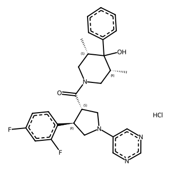 C[C@@H]1CN(C(=O)[C@@H]2CN(c3cncnc3)C[C@H]2c2ccc(F)cc2F)C[C@H](C)C1(O)c1ccccc1.Cl